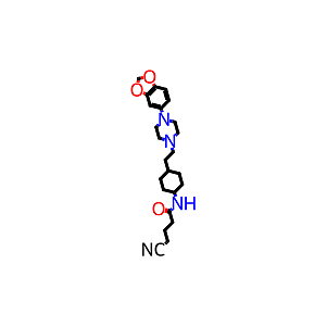 N#CCCCC(=O)NC1CCC(CCN2CCN(c3ccc4c(c3)OCO4)CC2)CC1